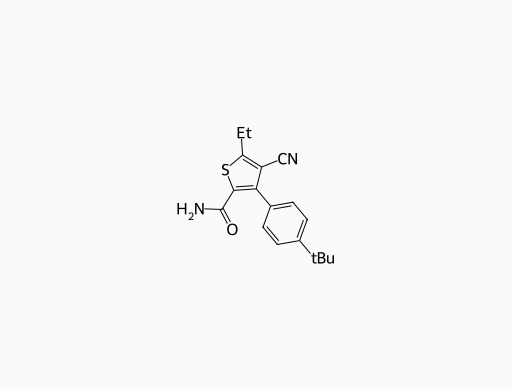 CCc1sc(C(N)=O)c(-c2ccc(C(C)(C)C)cc2)c1C#N